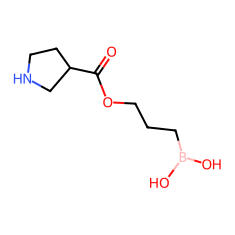 O=C(OCCCB(O)O)C1CCNC1